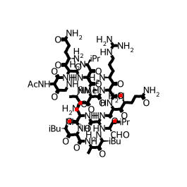 CC[C@H](C)C(N)C(=O)C(C)NC(=O)C(NC(=O)C(CC(=O)[C@H](C)NC)NC(=O)C(NC(=O)C(NC(=O)C(NC(=O)C(NC(=O)C(NC(=O)C(NC(=O)C(NC(C)=O)C(=O)CN)C(=O)[C@@H](N)CCC(N)=O)C(=O)[C@@H](N)C(C)C)C(=O)CN)C(=O)[C@@H](N)CCCNC(N)N)C(=O)[C@@H](N)CCC(N)=O)N[C@H](C=O)CC(C)C)C(=O)C(N)[C@@H](C)CC